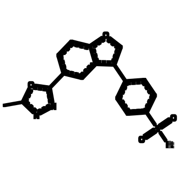 CCS(=O)(=O)c1ccc(-c2coc3ccc(-c4nnc(C)o4)cc23)cc1